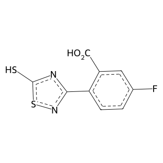 O=C(O)c1cc(F)ccc1-c1nsc(S)n1